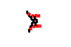 C=COCCCc1c(C(=O)O)ccc(C(=O)O)c1CCCOC=C